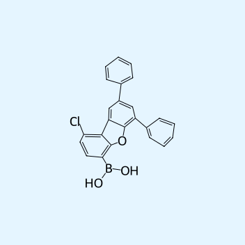 OB(O)c1ccc(Cl)c2c1oc1c(-c3ccccc3)cc(-c3ccccc3)cc12